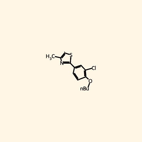 CCCCOc1ccc(-c2nc(C)[c]s2)cc1Cl